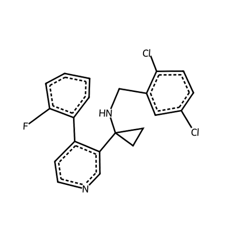 Fc1ccccc1-c1ccncc1C1(NCc2cc(Cl)ccc2Cl)CC1